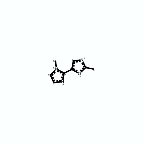 Cc1ncc(-c2nccn2C)o1